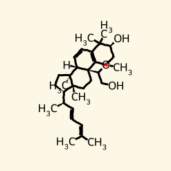 COC(CO)[C@@]12CC[C@]3(C)[C@@H]([C@H](C)/C=C/C=C(C)C)CC[C@@]3(C)[C@@H]1C=CC1=C2CC[C@H](O)C1(C)C